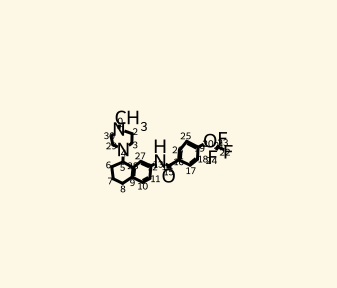 CN1CCN(C2CCCc3ccc(NC(=O)c4ccc(OC(F)(F)F)cc4)cc32)CC1